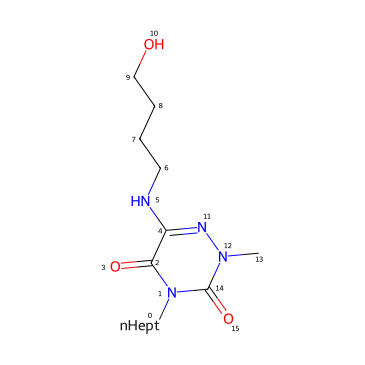 CCCCCCCn1c(=O)c(NCCCCO)nn(C)c1=O